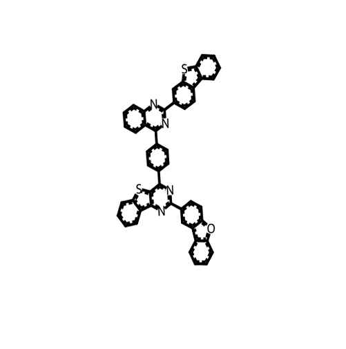 c1ccc2c(-c3ccc(-c4nc(-c5ccc6oc7ccccc7c6c5)nc5c4sc4ccccc45)cc3)nc(-c3ccc4c(c3)sc3ccccc34)nc2c1